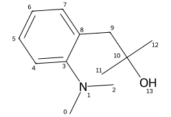 CN(C)c1ccccc1CC(C)(C)O